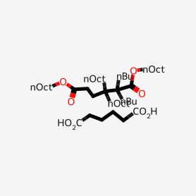 CCCCCCCCOC(=O)CCC(CCCCCCCC)(CCCCCCCC)C(CCCC)(CCCC)C(=O)OCCCCCCCC.O=C(O)CCCCC(=O)O